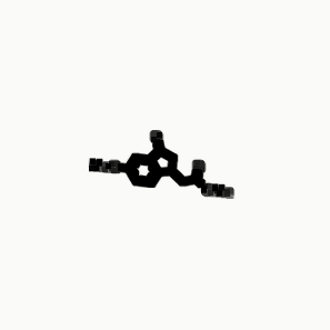 COC(=O)CC1CC(=O)c2cc(OC)ccc21